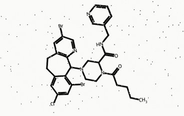 CCCCC(=O)N1CCN(C2c3ncc(Br)cc3CCc3cc(Cl)cc(Br)c32)CC1C(=O)NCc1cccnc1